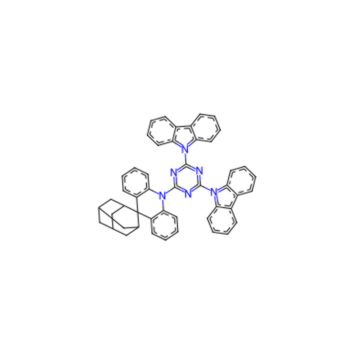 c1ccc2c(c1)N(c1nc(-n3c4ccccc4c4ccccc43)nc(-n3c4ccccc4c4ccccc43)n1)c1ccccc1C21C2CC3CC(C2)CC1C3